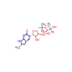 CCC(C)(O)P(=O)(O)O[C@](C)(CC)C[C@H]1O[C@@H](n2cc3cc(C)[nH]c3nc2=O)[C@H](O)[C@@H]1O